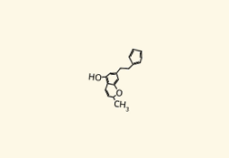 CC1C=Cc2c(O)cc(CCc3ccccc3)cc2O1